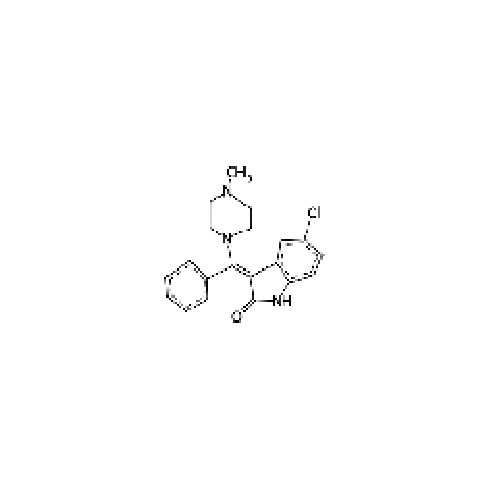 CN1CCN(C(=C2C(=O)Nc3ccc(Cl)cc32)c2ccccc2)CC1